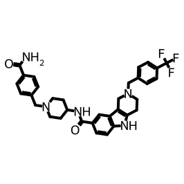 NC(=O)c1ccc(CN2CCC(NC(=O)c3ccc4[nH]c5c(c4c3)CN(Cc3ccc(C(F)(F)F)cc3)CC5)CC2)cc1